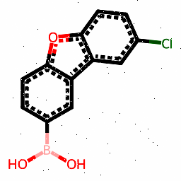 OB(O)c1ccc2oc3ccc(Cl)cc3c2c1